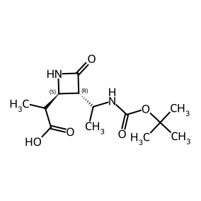 CC(C(=O)O)[C@H]1NC(=O)[C@@H]1C(C)NC(=O)OC(C)(C)C